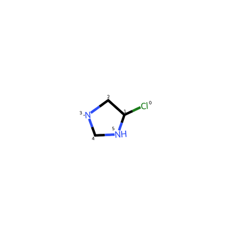 ClC1C[N]CN1